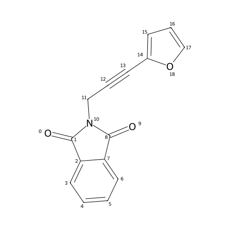 O=C1c2ccccc2C(=O)N1CC#Cc1ccco1